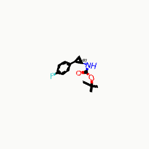 CC(C)(C)OC(=O)N[C@@H]1CC1c1ccc(F)cc1